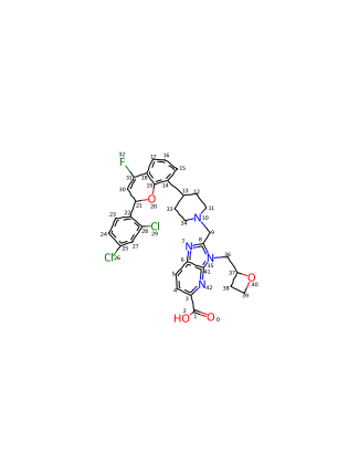 O=C(O)c1ccc2nc(CN3CCC(c4cccc5c4OC(c4ccc(Cl)cc4Cl)C=C5F)CC3)n(CC3CCO3)c2n1